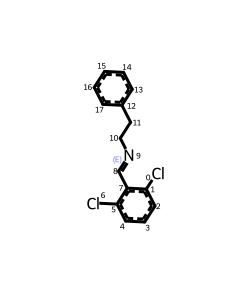 Clc1cccc(Cl)c1/C=N/CCc1ccccc1